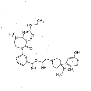 CCNc1ncc2c(n1)N(C)CCN(c1cccc(C(=N)OC(=N)CN3CCC(c4cccc(O)c4)(N(C)C)CC3)c1)C2=O